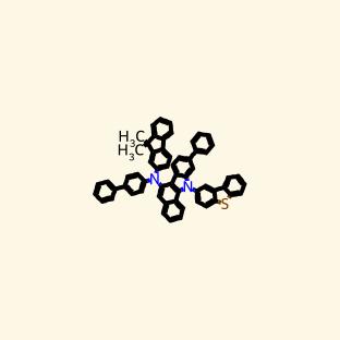 CC1(C)c2ccccc2-c2ccc(N(c3ccc(-c4ccccc4)cc3)c3cc4ccccc4c4c3c3ccc(-c5ccccc5)cc3n4-c3ccc4sc5ccccc5c4c3)cc21